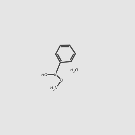 NOB(O)c1ccccc1.O